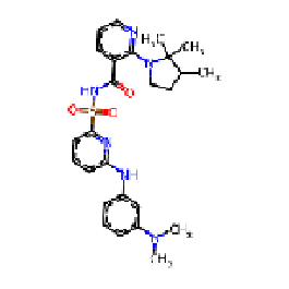 CC1CCN(c2ncccc2C(=O)NS(=O)(=O)c2cccc(Nc3cccc(N(C)C)c3)n2)C1(C)C